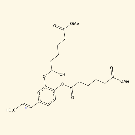 COC(=O)CCCCC(=O)Oc1ccc(/C=C/C(=O)O)cc1OC(O)CCCCC(=O)OC